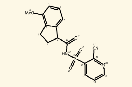 COc1cccc2c1CCC2C(=O)NS(=O)(=O)c1cccnc1C#N